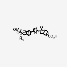 COC(=O)C(C)(C)Cc1ccc(-c2csc(N3CC4CN(C(=O)O)CCN4C3=O)n2)cc1